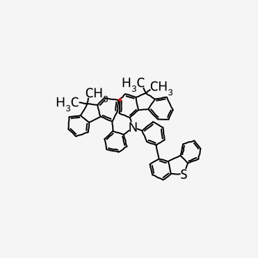 CC1(C)c2ccccc2-c2c(-c3ccccc3N(c3cccc(-c4cccc5sc6ccccc6c45)c3)c3cccc4c3-c3ccccc3C4(C)C)cccc21